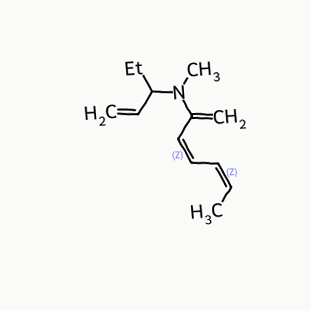 C=CC(CC)N(C)C(=C)/C=C\C=C/C